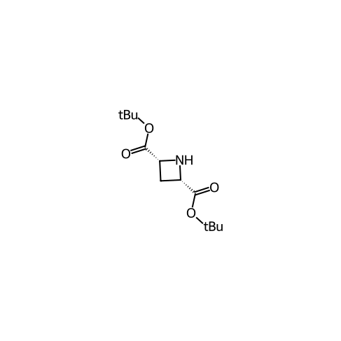 CC(C)(C)OC(=O)[C@@H]1C[C@H](C(=O)OC(C)(C)C)N1